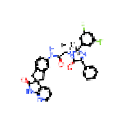 C[C@@]1(c2cc(F)cc(F)c2)N=C(c2ccccc2)C(=O)N1CC(=O)Nc1ccc2c(c1)CC1(C2)C(=O)Nc2ncccc21